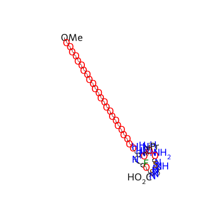 COCCOCCOCCOCCOCCOCCOCCOCCOCCOCCOCCOCCOCCOCCOCCOCCOCCOCCOCCOCCOCCOCCOCCOCCOCCCc1cc(NC(=O)[C@H](CCCNC(N)=O)NC(=O)[C@@H](N)C(C)C)ccc1C[N+](C)(C)CC#Cc1ccc(OCCCc2sc(N3CCCc4c3nnc(Nc3nc5ccccc5s3)c4C)nc2C(=O)O)c(F)c1